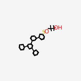 CC(C)(O)C(C)(C)COSc1cccc(-c2cccc(-c3cc(-c4ccccc4)cc(-c4ccccc4)c3)c2)c1